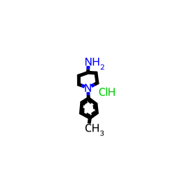 Cc1ccc(N2CCC(N)CC2)cc1.Cl